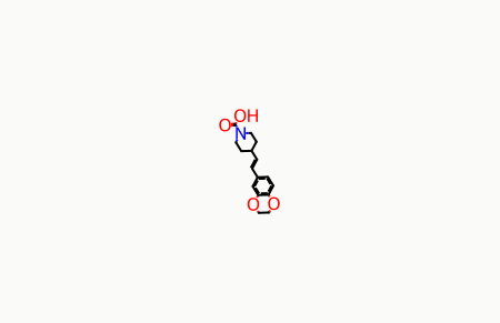 O=C(O)N1CCC(C=Cc2ccc3c(c2)OCCO3)CC1